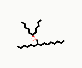 CCCCCCCCC(CCCCCC)COC(CCCCC)CCCCC